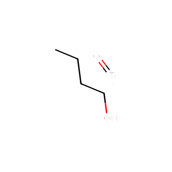 CCCCO.[O]=[Ti]